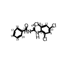 O=C(NC(=S)Nc1c(Cl)cc(Cl)cc1Cl)c1ccccc1